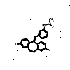 C[S+]([O-])Nc1cccc(C=C2c3ccc(F)cc3CCc3cc(F)ccc32)c1